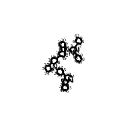 c1ccc(-c2cc(-n3c4ccccc4c4cc(-c5ccc6c7ccccc7n(-c7ccc(-c8ccnc9c8sc8ccccc89)cc7)c6c5)ccc43)nc(-c3ccccc3)n2)cc1